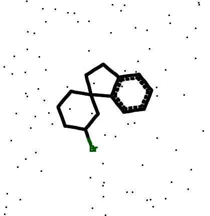 BrC1CCCC2(CCc3ccccc32)C1